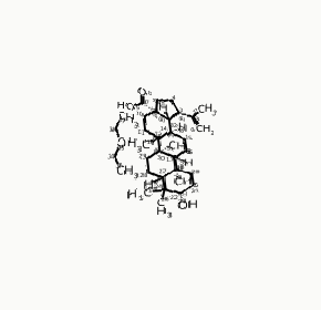 C=C(C)[C@@H]1CC[C@]2(C(=O)O)CC[C@]3(C)[C@H](CC[C@@H]4[C@@]5(C)CC[C@H](O)C(C)(C)[C@@H]5CC[C@]43C)[C@@H]12.CCOCC